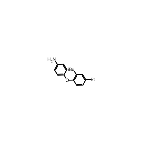 CCc1ccc(Oc2ccc(N)cc2)c(C(C)CC)c1